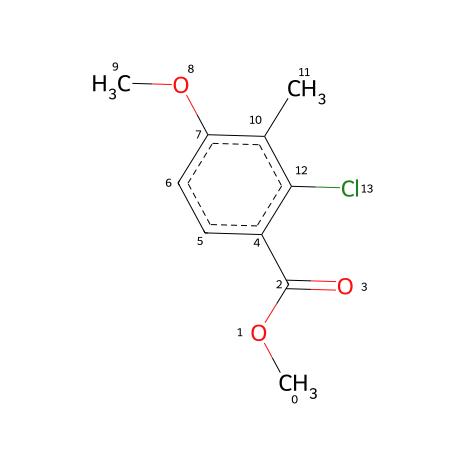 COC(=O)c1ccc(OC)c(C)c1Cl